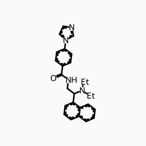 CCN(CC)C(CNC(=O)c1ccc(-n2ccnc2)cc1)c1cccc2ccccc12